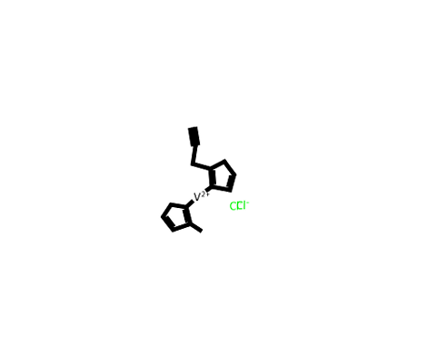 C#CCC1=[C]([V+2][C]2=C(C)C=CC2)C=CC1.[Cl-].[Cl-]